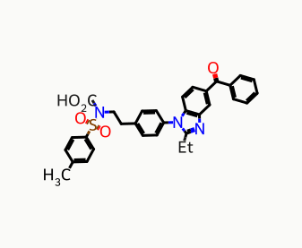 CCc1nc2cc(C(=O)c3ccccc3)ccc2n1-c1ccc(CCN(C(=O)O)S(=O)(=O)c2ccc(C)cc2)cc1